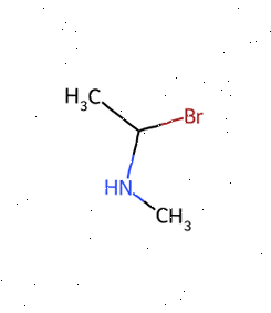 CNC(C)Br